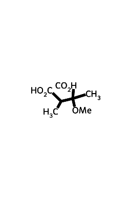 COC(C)(C(=O)O)C(C)C(=O)O